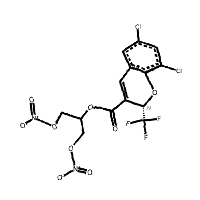 O=C(OC(CO[N+](=O)[O-])CO[N+](=O)[O-])C1=Cc2cc(Cl)cc(Cl)c2O[C@@H]1C(F)(F)F